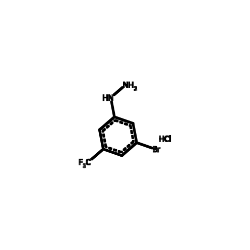 Cl.NNc1cc(Br)cc(C(F)(F)F)c1